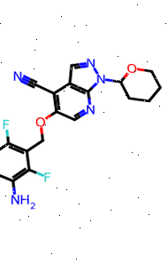 N#Cc1c(OCc2c(F)ccc(N)c2F)cnc2c1cnn2C1CCCCO1